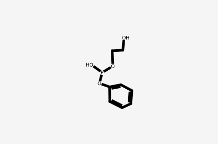 OCCOP(O)Oc1ccccc1